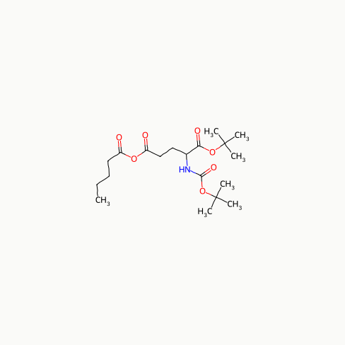 CCCCC(=O)OC(=O)CCC(NC(=O)OC(C)(C)C)C(=O)OC(C)(C)C